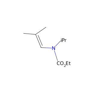 CCOC(=O)N(C=C(C)C)C(C)C